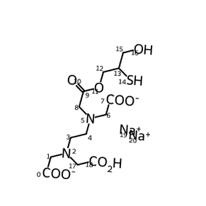 O=C([O-])CN(CCN(CC(=O)[O-])CC(=O)OCC(S)CO)CC(=O)O.[Na+].[Na+]